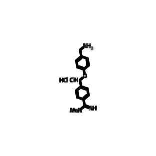 CNC(=N)c1ccc(COc2ccc(CN)cc2)cc1.Cl.Cl